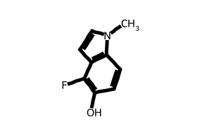 Cn1ccc2c(F)c(O)ccc21